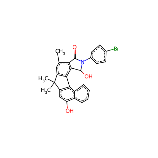 Cc1cc2c(c3c1C(=O)N(c1ccc(Br)cc1)C3O)-c1c(cc(O)c3ccccc13)C2(C)C